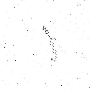 CCCCC1CCC(CCC2CCC(CC(O)C#Cc3ccc(C(F)(F)F)cc3)CC2)CC1